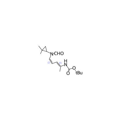 C/C(=C\C=C/N(C=O)C1CC1(C)C)NC(=O)OC(C)(C)C